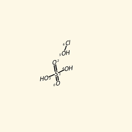 O=S(=O)(O)O.OCl